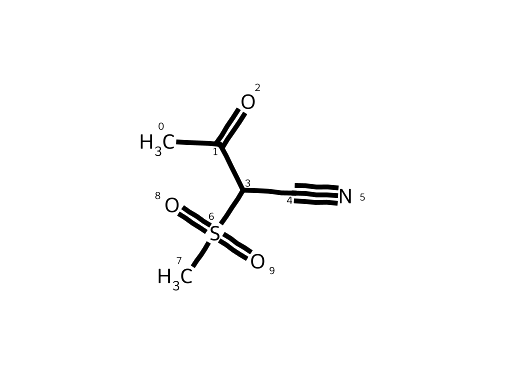 CC(=O)C(C#N)S(C)(=O)=O